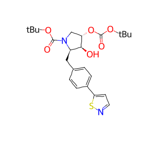 CC(C)(C)OC(=O)O[C@H]1CN(C(=O)OC(C)(C)C)[C@H](Cc2ccc(-c3ccns3)cc2)[C@@H]1O